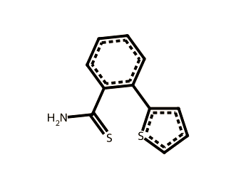 NC(=S)c1ccccc1-c1cccs1